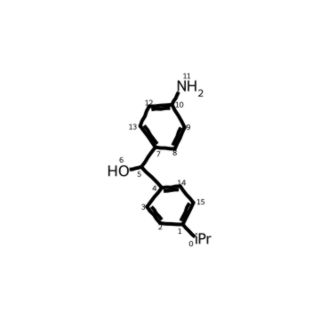 CC(C)c1ccc(C(O)c2ccc(N)cc2)cc1